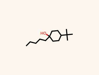 CCCCCC1(O)CCC(C(C)(C)C)CC1